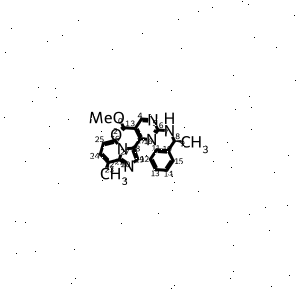 COC(=O)c1cnc(N[C@@H](C)c2ccccc2)nc1-c1cnc2c(C)cccn12